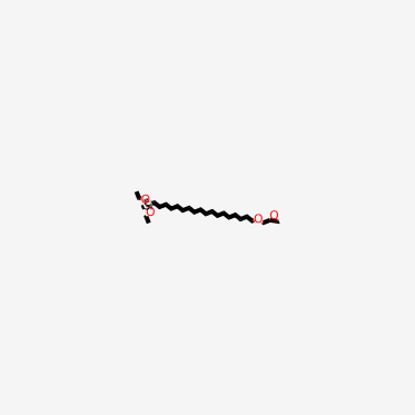 CCO[Si](C)(CCCCCCCCCCCCCCCCCCOCC1CO1)OCC